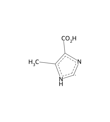 Cc1[nH][c]nc1C(=O)O